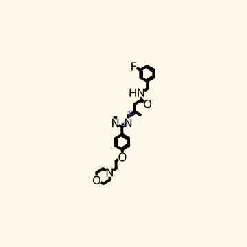 C=N/C(=N\C=C(/C)CC(=O)NCc1cccc(F)c1)c1ccc(OCCN2CCOCC2)cc1